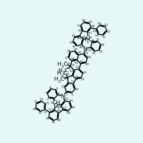 Cc1ccccc1N(c1ccc2c(c1)C(C)(C)c1c-2ccc2c1C(C)(C)c1cccc3c(N(c4ccccc4C)c4cccc5c4oc4c(-c6ccccc6)cccc45)ccc-2c13)c1cccc2c1oc1c(-c3ccccc3)cccc12